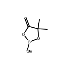 C=C1OB(C(C)(C)C)OC1(C)C